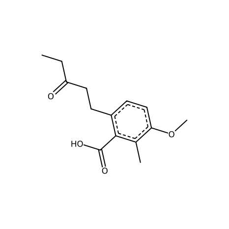 CCC(=O)CCc1ccc(OC)c(C)c1C(=O)O